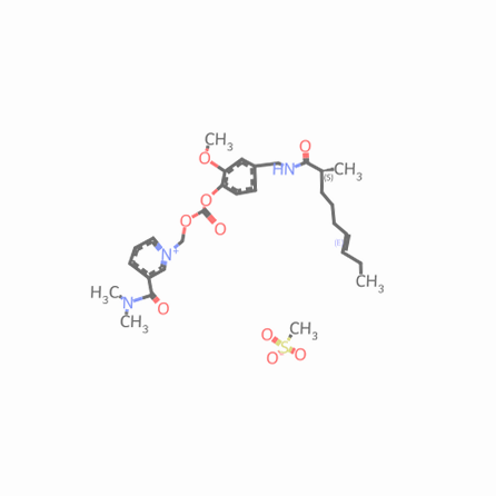 CC/C=C/CCC[C@H](C)C(=O)NCc1ccc(OC(=O)OC[n+]2cccc(C(=O)N(C)C)c2)c(OC)c1.CS(=O)(=O)[O-]